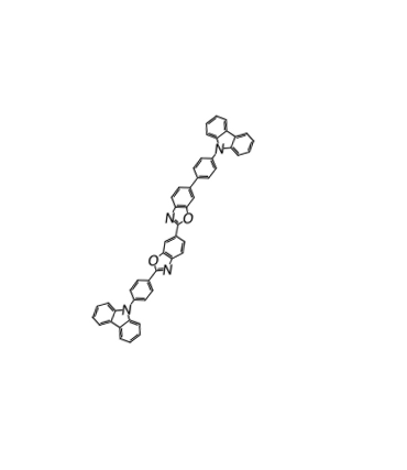 c1ccc2c(c1)c1ccccc1n2-c1ccc(-c2ccc3nc(-c4ccc5nc(-c6ccc(-n7c8ccccc8c8ccccc87)cc6)oc5c4)oc3c2)cc1